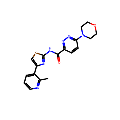 Cc1ncccc1-c1csc(NC(=O)c2ccc(N3CCOCC3)nn2)n1